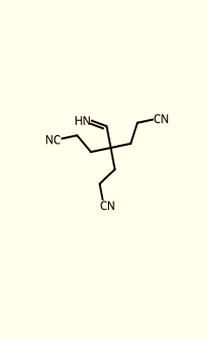 N#CCCC(C=N)(CCC#N)CCC#N